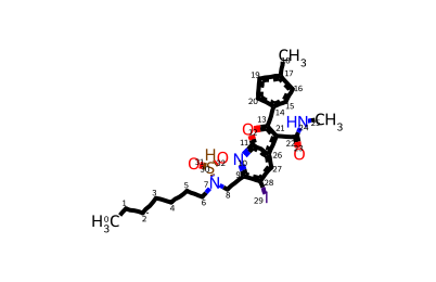 CC[CH]CCCCN(Cc1nc2oc(-c3ccc(C)cc3)c(C(=O)NC)c2cc1I)[SH](=O)=O